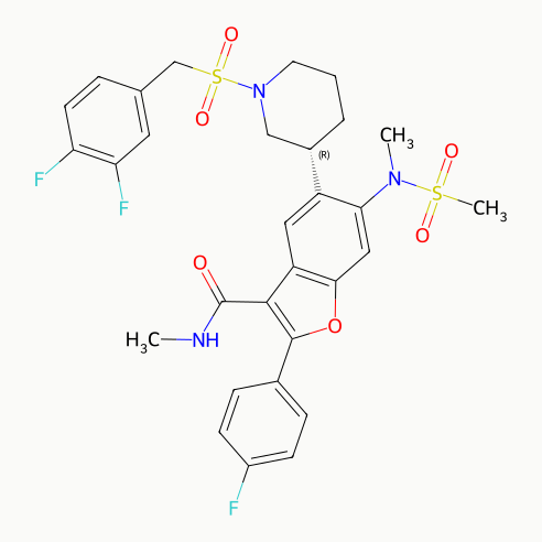 CNC(=O)c1c(-c2ccc(F)cc2)oc2cc(N(C)S(C)(=O)=O)c([C@H]3CCCN(S(=O)(=O)Cc4ccc(F)c(F)c4)C3)cc12